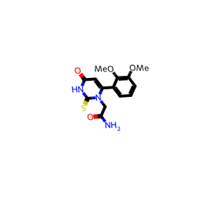 COc1cccc(-c2cc(=O)[nH]c(=S)n2CC(N)=O)c1OC